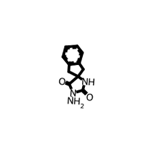 NN1C(=O)NC2(Cc3ccccc3C2)C1=O